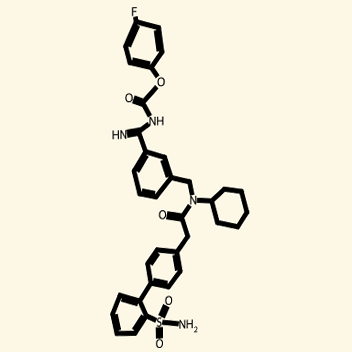 N=C(NC(=O)Oc1ccc(F)cc1)c1cccc(CN(C(=O)Cc2ccc(-c3ccccc3S(N)(=O)=O)cc2)C2CCCCC2)c1